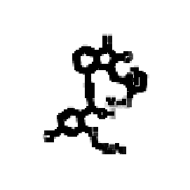 COc1cc[nH]c1C=C1C(=O)Nc2cccc(C#CC(O)c3ccc(Cl)cc3OCSC)c21